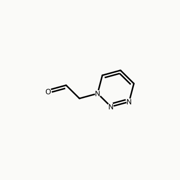 O=CCN1C=C=CN=N1